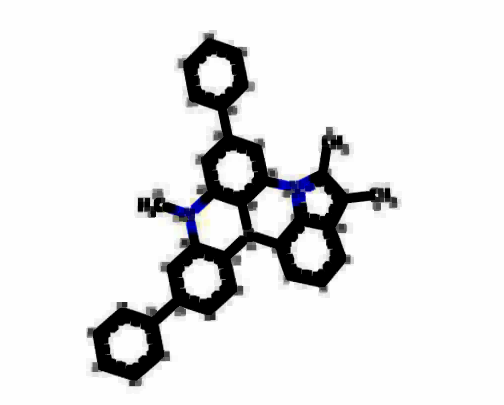 Cc1c(C)n2c3c(cccc13)B1c3ccc(-c4ccccc4)cc3N(C)c3cc(-c4ccccc4)cc-2c31